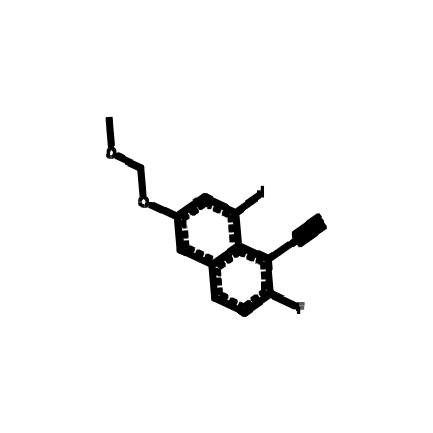 C#Cc1c(F)ccc2cc(OCOC)cc(I)c12